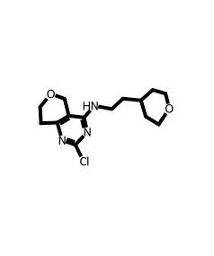 Clc1nc2c(c(NCCC3CCOCC3)n1)COCC2